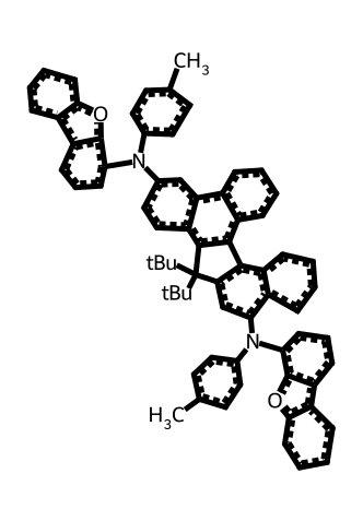 Cc1ccc(N(c2ccc3c4c(c5ccccc5c3c2)-c2c(cc(N(c3ccc(C)cc3)c3cccc5c3oc3ccccc35)c3ccccc23)C4(C(C)(C)C)C(C)(C)C)c2cccc3c2oc2ccccc23)cc1